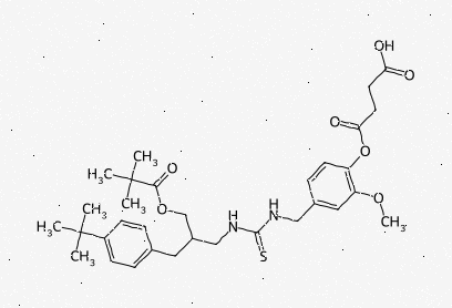 COc1cc(CNC(=S)NCC(COC(=O)C(C)(C)C)Cc2ccc(C(C)(C)C)cc2)ccc1OC(=O)CCC(=O)O